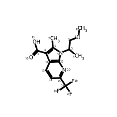 COCC(C)n1c(C)c(C(=O)O)c2ccc(C(F)(F)F)nc21